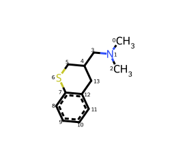 CN(C)CC1CSc2ccccc2C1